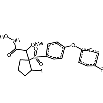 COC(C(=O)NO)C1(S(=O)(=O)c2ccc(Oc3ccc(F)cc3)cc2)CCCC1I